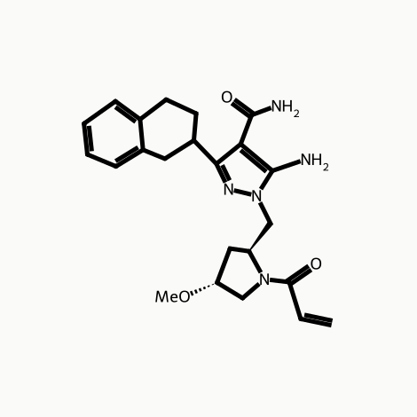 C=CC(=O)N1C[C@H](OC)C[C@H]1Cn1nc(C2CCc3ccccc3C2)c(C(N)=O)c1N